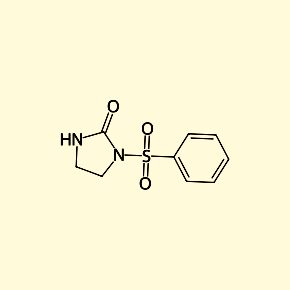 O=C1NCCN1S(=O)(=O)c1ccccc1